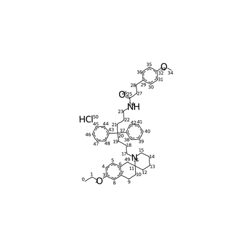 CCOc1ccc2c(c1)CCC1(CCCCN1CCCC(CCCNC(=O)CCc1ccc(OC)cc1)(c1ccccc1)c1ccccc1)C2.Cl